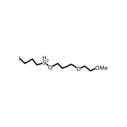 COCCOCCCO[SiH2]CCCI